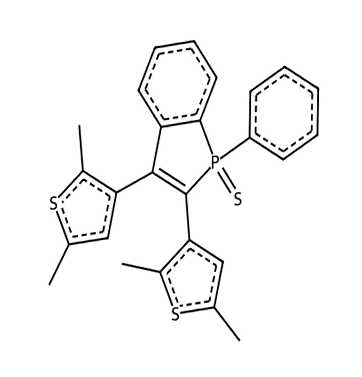 Cc1cc(C2=C(c3cc(C)sc3C)P(=S)(c3ccccc3)c3ccccc32)c(C)s1